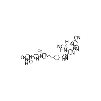 CC[C@@H]1CN(CCC2CCC(c3cn(-c4cnc(-n5ncc6cc(C#N)cnc65)cc4N[C@H](C)C#N)nn3)CC2)CCN1c1ccc(N2CCC(=O)NC2=O)cn1